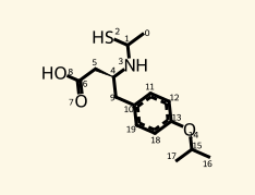 CC(S)N[C@H](CC(=O)O)Cc1ccc(OC(C)C)cc1